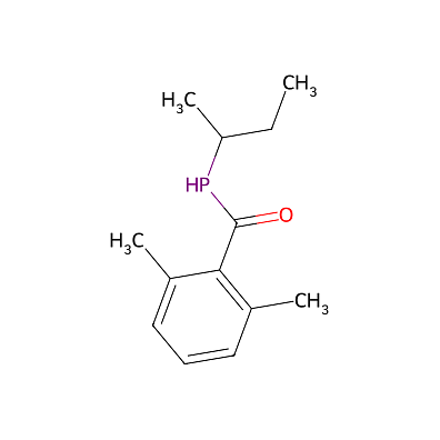 CCC(C)PC(=O)c1c(C)cccc1C